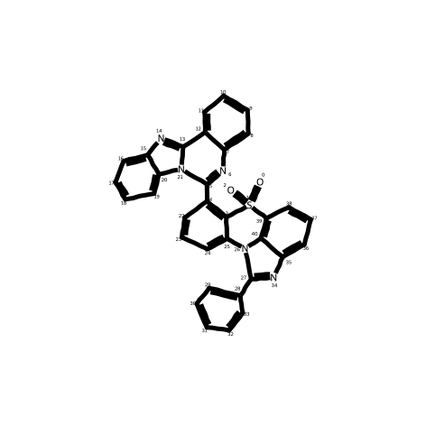 O=S1(=O)c2c(-c3nc4ccccc4c4nc5ccccc5n34)cccc2-n2c(-c3ccccc3)nc3cccc1c32